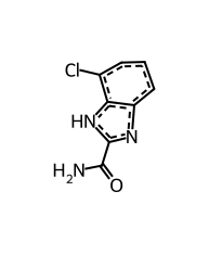 NC(=O)c1nc2cccc(Cl)c2[nH]1